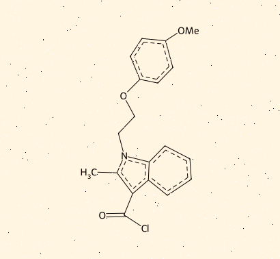 COc1ccc(OCCn2c(C)c(C(=O)Cl)c3ccccc32)cc1